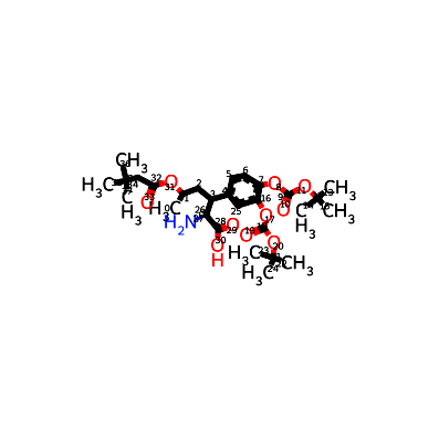 CC(CC(c1ccc(OC(=O)OC(C)(C)C)c(OC(=O)OC(C)(C)C)c1)[C@H](N)C(=O)O)OC(=O)CC(C)(C)C